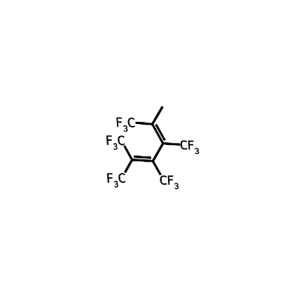 C/C(=C(/C(=C(C(F)(F)F)C(F)(F)F)C(F)(F)F)C(F)(F)F)C(F)(F)F